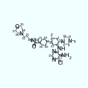 Cc1cc(N2CCN(C)CC2)c(Nc2ncnc(Cl)c2N)cc1-c1ccc(C(=O)NCCCN2CCOCC2)cc1